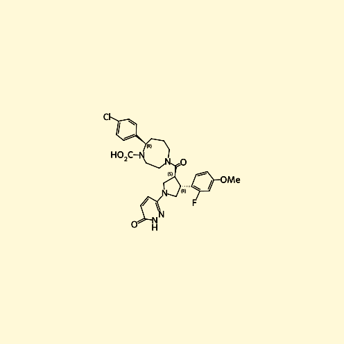 COc1ccc([C@@H]2CN(c3ccc(=O)[nH]n3)C[C@H]2C(=O)N2CCC[C@H](c3ccc(Cl)cc3)N(C(=O)O)CC2)c(F)c1